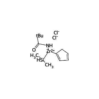 C[SiH](C)[Zr+2]([NH]C(=O)C(C)(C)C)[C]1=CC=CC1.[Cl-].[Cl-]